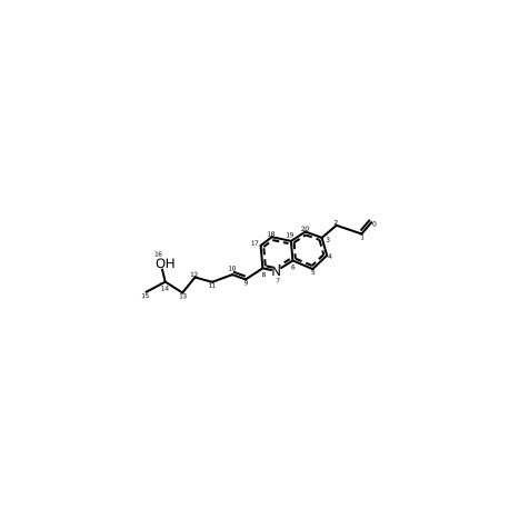 C=CCc1ccc2nc(/C=C/CCCC(C)O)ccc2c1